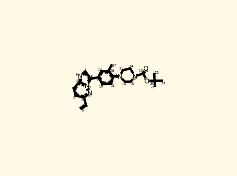 C=Cc1ccc2ncc(-c3ccc(N4CCN(C(=O)OC(C)(C)C)CC4)c(C)c3)n2n1